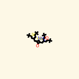 CC(C)(C)C1=CC(=CC2=C(N)C(=Cc3cc(C(C)(C)C)[s+]c(C(C)(C)C)c3)C2=O)C(S)=C(C(C)(C)C)O1